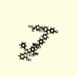 CC1(CN2CCN(C(=O)O)CC2)CCC(c2ccc(Cl)cc2)=C(CN2CCN(c3ccc(C(=O)NS(=O)(=O)c4ccc(N[C@H](CCN5CCCCC5CO)CSc5ccccc5)c([N+](=O)[O-])c4)cc3)CC2)C1